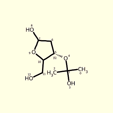 CC(C)(O)O[C@H]1CC(O)OC1CO